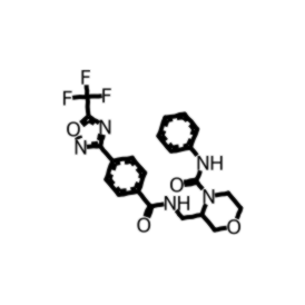 O=C(NCC1COCCN1C(=O)Nc1ccccc1)c1ccc(-c2noc(C(F)(F)F)n2)cc1